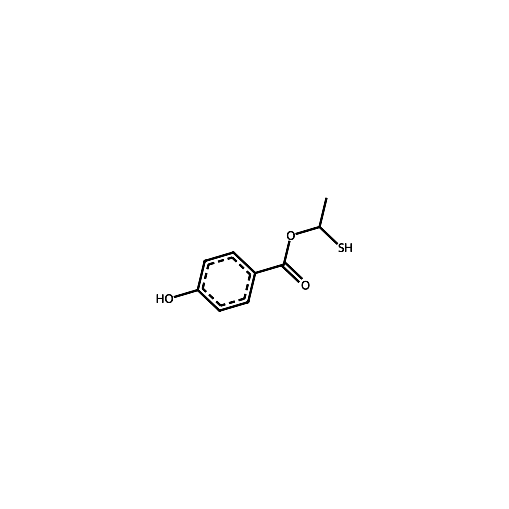 CC(S)OC(=O)c1ccc(O)cc1